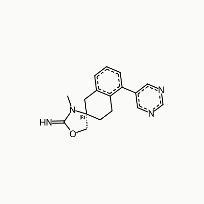 CN1C(=N)OC[C@]12CCc1c(cccc1-c1cncnc1)C2